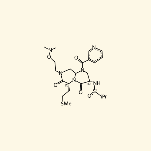 CSCC[C@H]1C(=O)N(CCON(C)C)CC2N(C(=O)c3cccnc3)C[C@H](N[S+]([O-])C(C)C)C(=O)N21